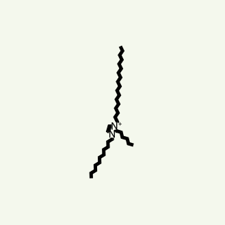 CCCCCCCCCCCCCCCCCC[n+]1ccn(CCCCCCCCCCC)c1CCCCC